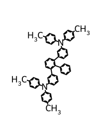 Cc1ccc(N(c2ccc(C)cc2)c2cccc(-c3cccc(-c4cccc(N(c5ccc(C)cc5)c5ccc(C)cc5)c4)c3-c3ccccc3)c2)cc1